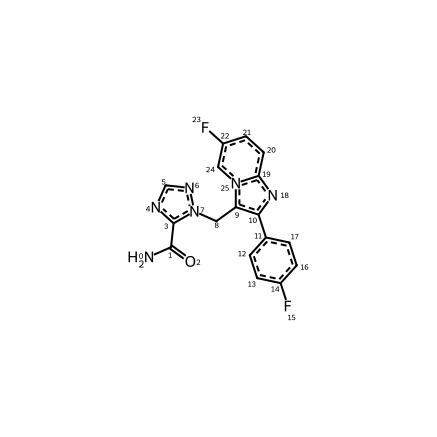 NC(=O)c1ncnn1Cc1c(-c2ccc(F)cc2)nc2ccc(F)cn12